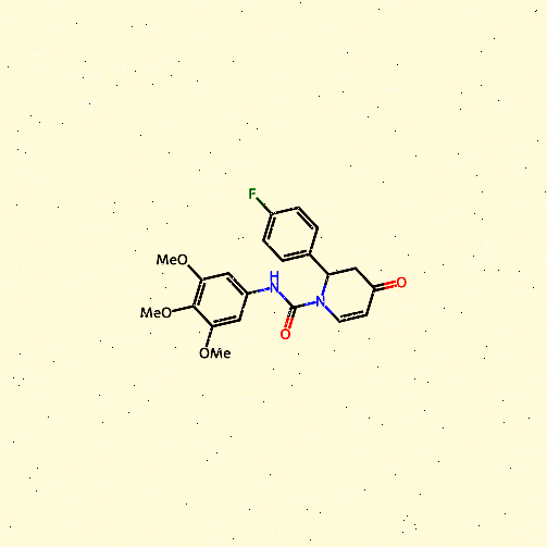 COc1cc(NC(=O)N2C=CC(=O)CC2c2ccc(F)cc2)cc(OC)c1OC